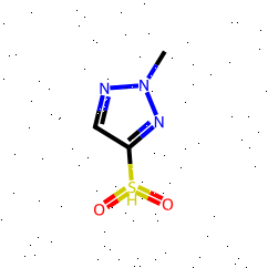 Cn1ncc([SH](=O)=O)n1